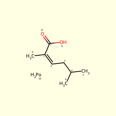 CC(=CCC(C)C)C(=O)O.[PoH2]